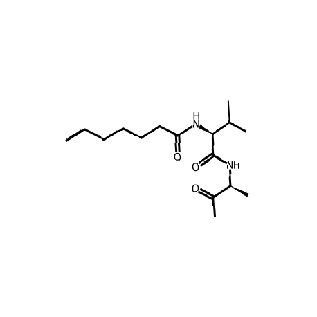 CCCCCCC(=O)N[C@H](C(=O)N[C@@H](C)C(C)=O)C(C)C